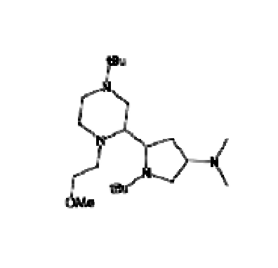 COCCN1CCN(C(C)(C)C)CC1C1CC(N(C)C)CN1C(C)(C)C